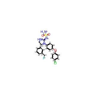 NS(=O)(=O)/N=C1\NC[C@H](c2cccc(CF)c2)N1c1ccc(Oc2ccc(Cl)cc2)cc1